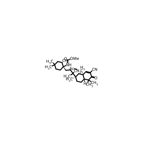 COC(=O)N[C@]1(CCC(C)(C)[C@]2(C)CC[C@H]3C(C)(C)C(=O)C(C#N)=C[C@]3(C)[C@H]2CC(C)=O)CCC(C)(C)CC1C